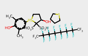 C1CCSC1.Cc1cc([SH]2CCC(O)C2(S(=O)(=O)O)S(=O)(=O)O)cc(C)c1O.FC(F)(F)C(F)(F)C(F)(F)C(F)(F)C(F)(F)C(F)(F)C(F)(F)C(F)(F)F